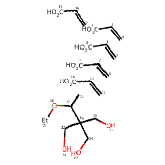 C=CC(=O)O.C=CC(=O)O.C=CC(=O)O.C=CC(=O)O.C=CC(=O)O.CCOC(C)C(CO)(CO)CO